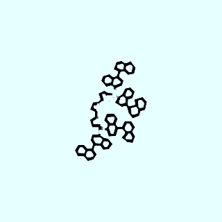 c1ccc2c(-c3ccc(B(c4ccc(-c5ccc(-c6ccc(B(c7ccc(-c8cccc9ccccc89)c8ccccc78)c7ccc(-c8cccc9ccccc89)c8ccccc78)s6)s5)s4)c4ccc(-c5cccc6ccccc56)c5ccccc45)c4ccccc34)cccc2c1